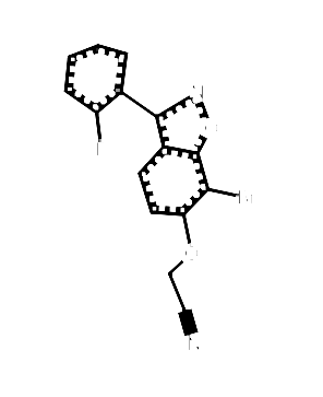 N#CCOc1ccc2c(-c3ccccc3F)noc2c1Br